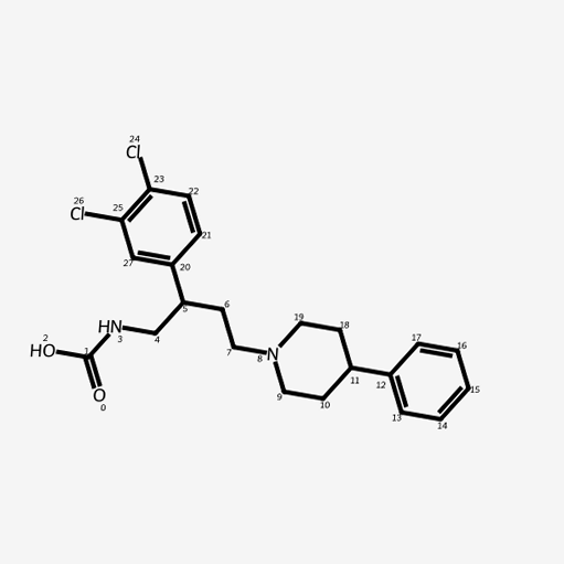 O=C(O)NCC(CCN1CCC(c2ccccc2)CC1)c1ccc(Cl)c(Cl)c1